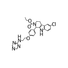 CCOC(=O)N1CCc2c([nH]c3ccc(Cl)cc23)C1c1ccc(OCCNc2ncncn2)cc1